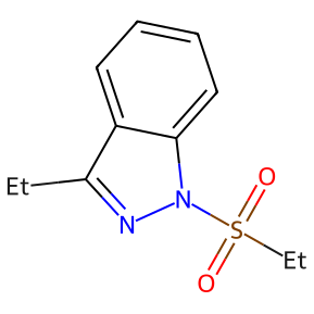 CCc1nn(S(=O)(=O)CC)c2ccccc12